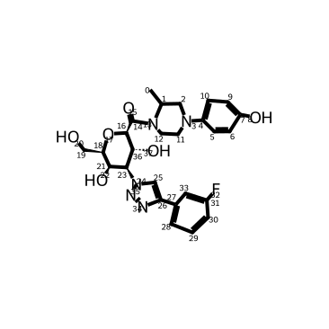 CC1CN(c2ccc(O)cc2)CCN1C(=O)[C@@H]1O[C@H](CO)[C@H](O)[C@H](n2cc(-c3cccc(F)c3)nn2)[C@H]1O